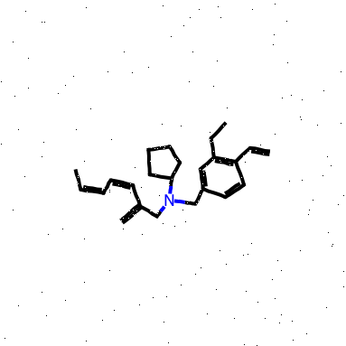 C=Cc1ccc(CN(CC(=C)/C=C\C=C/C)C2CCCC2)cc1CC